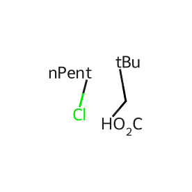 CC(C)(C)CC(=O)O.CCCCCCl